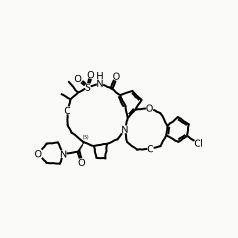 CC1CCC[C@H](C(=O)N2CCOCC2)C2CCC2CN2CCCCc3cc(Cl)ccc3COc3ccc(cc32)C(=O)NS(=O)(=O)C1C